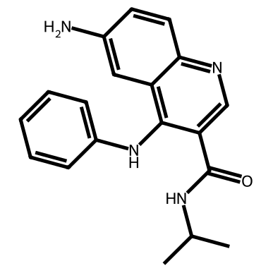 CC(C)NC(=O)c1cnc2ccc(N)cc2c1Nc1ccccc1